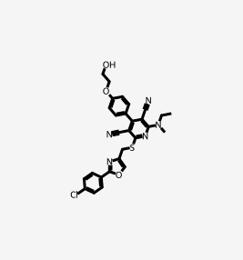 CCN(C)c1nc(SCc2coc(-c3ccc(Cl)cc3)n2)c(C#N)c(-c2ccc(OCCO)cc2)c1C#N